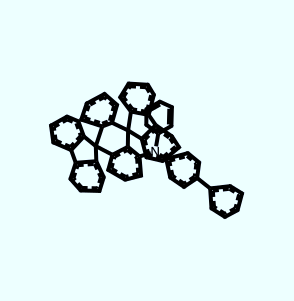 C1=CCC(N(c2ccc(-c3ccccc3)cc2)c2cccc3c2C2(c4ccccc4-c4ccccc42)c2ccccc2C32c3ccccc3-c3ccccc32)C=C1